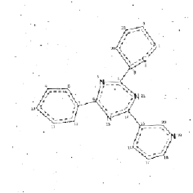 c1ccc(-c2nc(-c3ccccc3)nc(-c3cccnc3)n2)cc1